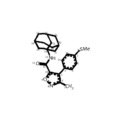 CSc1ccc(-c2c(C)noc2C(=O)NC23CC4CC(CC(C4)C2)C3)cc1